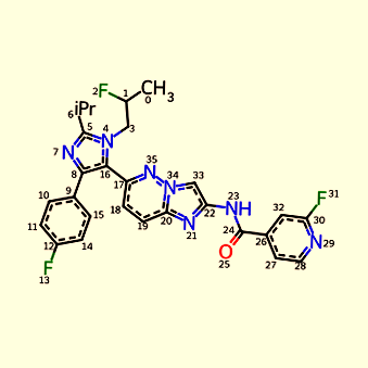 CC(F)Cn1c(C(C)C)nc(-c2ccc(F)cc2)c1-c1ccc2nc(NC(=O)c3ccnc(F)c3)cn2n1